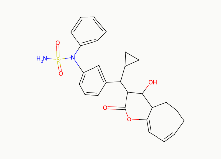 NS(=O)(=O)N(c1ccccc1)c1cccc(C(C2CC2)C2C(=O)OC3=CC=CCCCC3C2O)c1